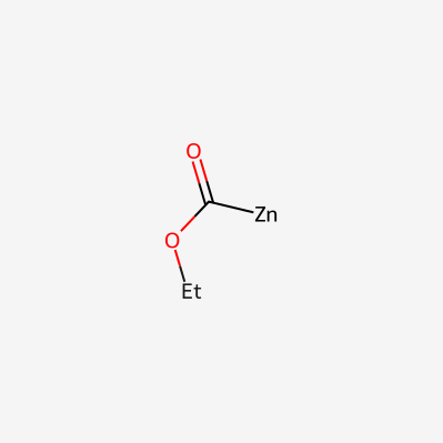 CCO[C](=O)[Zn]